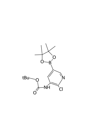 CC(C)(C)OC(=O)Nc1cc(B2OC(C)(C)C(C)(C)O2)cnc1Cl